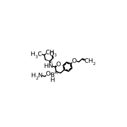 C=CCOc1ccc(C[C@H](BOCN)C(=O)N[C@H](C=O)CC(C)C)cc1